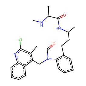 CN[C@@H](C)C(=O)NC(C)CCc1ccccc1N(C=O)Cc1c(C)c(Cl)nc2ccccc12